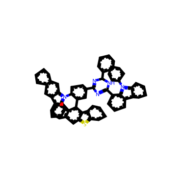 c1ccc(C2N=C(c3ccc(-n4c5ccccc5c5cc6ccccc6cc54)c(-c4c5ccccc5cc5sc6ccccc6c45)c3)N=C(c3cccc4c5ccccc5n(-c5ccccc5)c34)N2)cc1